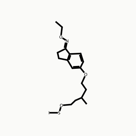 CCO/N=C1\CCc2cc(OCCC(C)CCOSI)ccc21